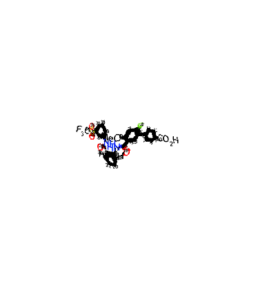 COc1cc(F)c(-c2ccc(C(=O)O)cc2)cc1C(=O)N[C@@H]1[C@@H]2CC[C@@H](C2)[C@@H]1C(=O)Nc1cccc(S(=O)(=O)C(F)(F)F)c1